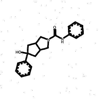 O=C(Nc1ccccc1)N1CC2CC(O)(c3ccccc3)CC2C1